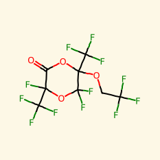 O=C1OC(OCC(F)(F)F)(C(F)(F)F)C(F)(F)OC1(F)C(F)(F)F